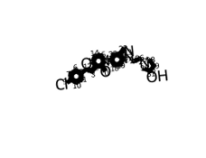 O=c1c2cc(-c3ccc(Cl)cc3)oc2ccn1-c1ccc2c(cnn2CCN2CC[C@H](O)C2)c1